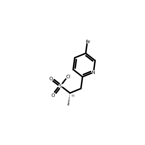 C[C@@H](Cc1ccc(Br)cn1)S(=O)(=O)Cl